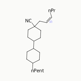 CCC/C=C\CC1(C#N)CCC(C2CCC(CCCCC)CC2)CC1